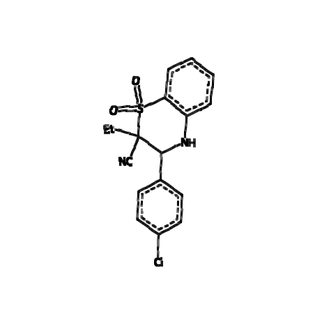 CCC1(C#N)C(c2ccc(Cl)cc2)Nc2ccccc2S1(=O)=O